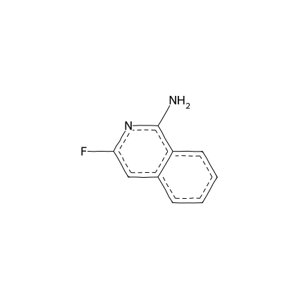 Nc1nc(F)cc2ccccc12